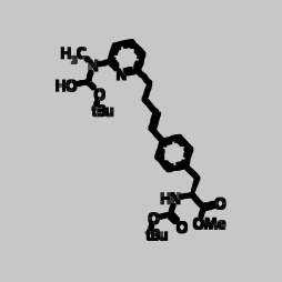 COC(=O)[C@H](Cc1ccc(C=CCCc2cccc(N(C)C(O)OC(C)(C)C)n2)cc1)NC(=O)OC(C)(C)C